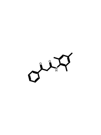 Cc1cc(C)c(NC(=O)CC(=O)c2ccccc2)c(C)c1